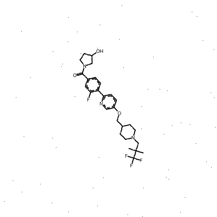 CC(C)(CN1CCC(COc2ccc(-c3ccc(C(=O)N4CCC(O)C4)cc3F)nc2)CC1)C(F)(F)F